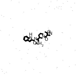 C=C(/N=C(\ON)c1cc2ccccc2[nH]1)C1CCCN(C(=O)c2cnoc2C)C1